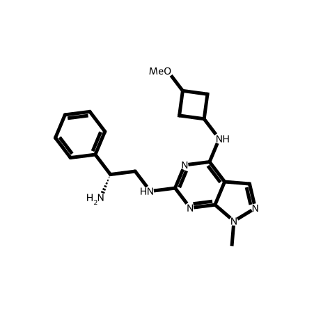 COC1CC(Nc2nc(NC[C@H](N)c3ccccc3)nc3c2cnn3C)C1